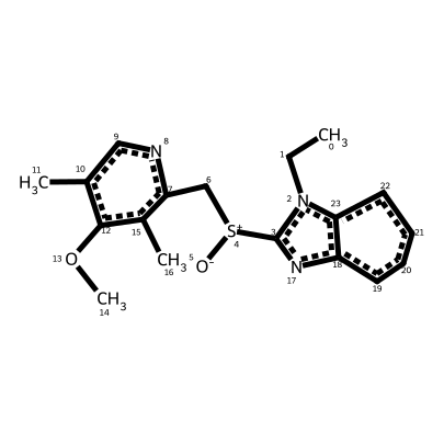 CCn1c([S+]([O-])Cc2ncc(C)c(OC)c2C)nc2ccccc21